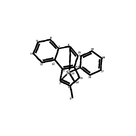 CC1=C2c3c(cc(c4ccccc34)[Si]2(C)c2ccccc2)[CH]1